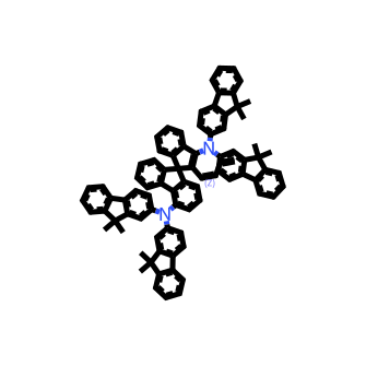 C=C/C=C\C1=C(N(c2ccc3c(c2)C(C)(C)c2ccccc2-3)c2ccc3c(c2)C(C)(C)c2ccccc2-3)c2ccccc2C12c1ccccc1-c1c(N(c3ccc4c(c3)C(C)(C)c3ccccc3-4)c3ccc4c(c3)C(C)(C)c3ccccc3-4)cccc12